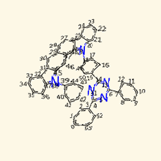 c1ccc(-c2nc(-c3ccccc3)nc(-c3ccc(-n4c5ccccc5c5ccc6cc7c8ccccc8n(-c8ccccc8)c7cc6c54)cc3)n2)cc1